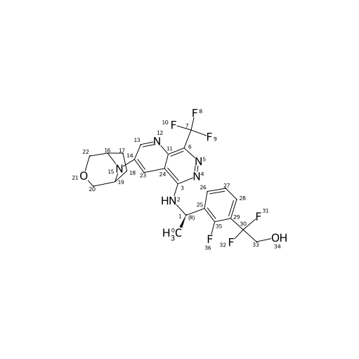 C[C@@H](Nc1nnc(C(F)(F)F)c2ncc(N3C4CCC3COC4)cc12)c1cccc(C(F)(F)CO)c1F